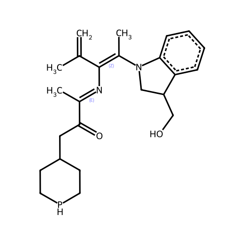 C=C(C)C(/N=C(\C)C(=O)CC1CCPCC1)=C(\C)N1CC(CO)c2ccccc21